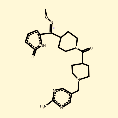 CO/N=C(\c1cccc(=O)[nH]1)C1CCN(C(=O)C2CCN(Cc3cnc(N)nc3)CC2)CC1